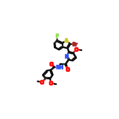 COc1ccc(C(=O)NCC(=O)c2ccc(OC)c(-c3c(Br)sc4c(F)cccc34)n2)cc1OC